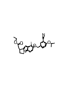 CCOC(=O)CC1CCn2c1cc1c(C)c(OCc3ccc(OC(C)C)c(C#N)c3)ccc12